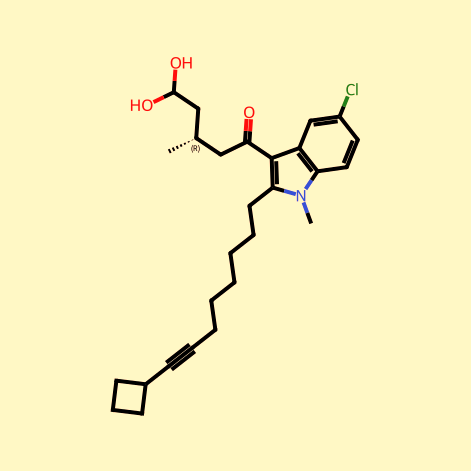 C[C@@H](CC(=O)c1c(CCCCCCC#CC2CCC2)n(C)c2ccc(Cl)cc12)CC(O)O